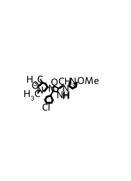 COc1ccc(N/C(C)=C2\C(=N)C(c3ccc(Cl)cc3)N(c3cc(C)c(=O)n(C)c3)C2=O)cn1